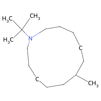 CC1CCCCCN(C(C)(C)C)CCCCC1